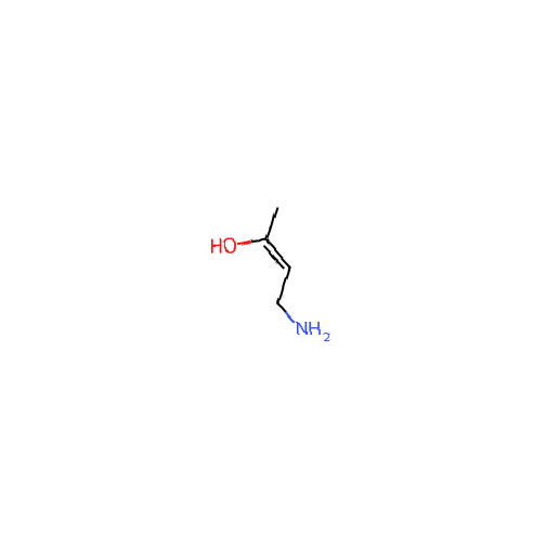 C/C(O)=C/CN